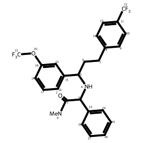 CNC(=O)C(NC(CCc1ccc(C(F)(F)F)cc1)c1cccc(OC(F)(F)F)c1)c1ccccc1